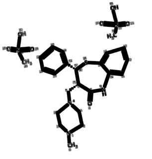 CN1CCN(C[C@H]2C(=O)Nc3ccccc3S[C@H]2c2ccccc2)CC1.CS(=O)(=O)O.CS(=O)(=O)O